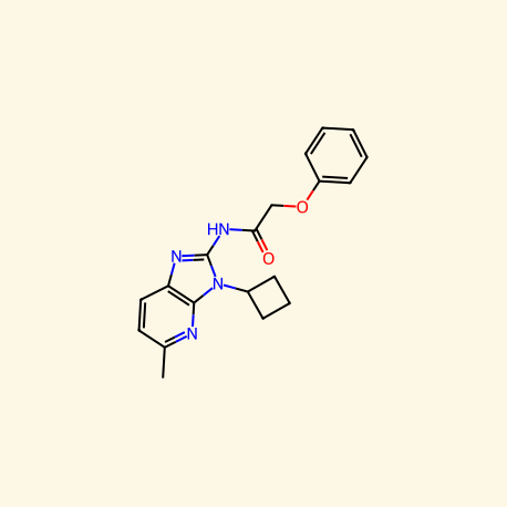 Cc1ccc2nc(NC(=O)COc3ccccc3)n(C3CCC3)c2n1